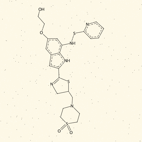 O=S1(=O)CCN(CC2CN=C(c3cc4cc(OCCO)cc(NSc5ccccn5)c4[nH]3)S2)CC1